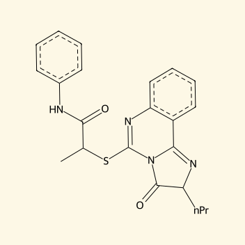 CCCC1N=C2c3ccccc3N=C(SC(C)C(=O)Nc3ccccc3)N2C1=O